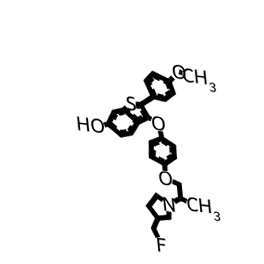 COc1ccc(-c2sc3cc(O)ccc3c2Oc2ccc(OCC(C)N3CCC(CF)C3)cc2)cc1